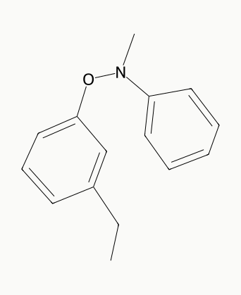 CCc1cccc(ON(C)c2ccccc2)c1